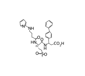 CS(=O)(=O)CC[C@H](NC(=O)CCCNc1ccccn1)C(=O)NC(CC(=O)O)c1ccc(-c2ccccc2)cc1